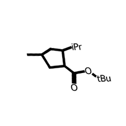 CC1CC(C(=O)OC(C)(C)C)C(C(C)C)C1